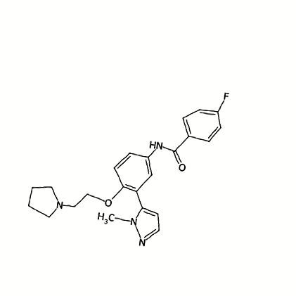 Cn1nccc1-c1cc(NC(=O)c2ccc(F)cc2)ccc1OCCN1CCCC1